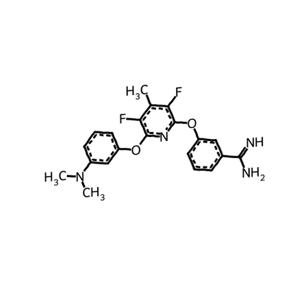 Cc1c(F)c(Oc2cccc(C(=N)N)c2)nc(Oc2cccc(N(C)C)c2)c1F